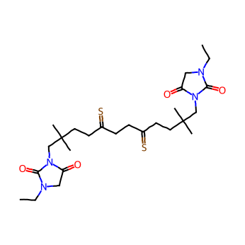 CCN1CC(=O)N(CC(C)(C)CCC(=S)CCC(=S)CCC(C)(C)CN2C(=O)CN(CC)C2=O)C1=O